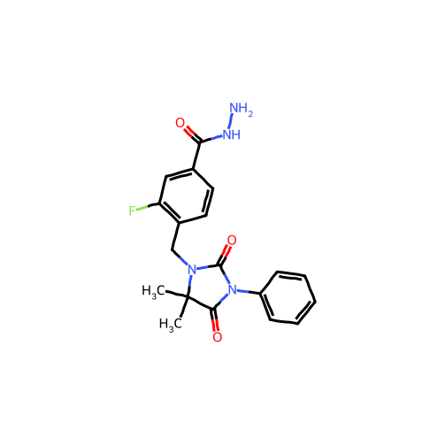 CC1(C)C(=O)N(c2ccccc2)C(=O)N1Cc1ccc(C(=O)NN)cc1F